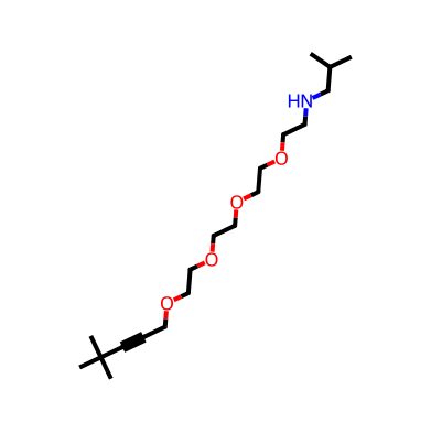 CC(C)CNCCOCCOCCOCCOCC#CC(C)(C)C